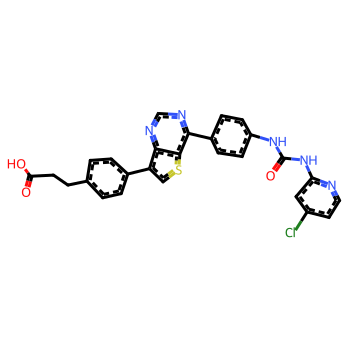 O=C(O)CCc1ccc(-c2csc3c(-c4ccc(NC(=O)Nc5cc(Cl)ccn5)cc4)ncnc23)cc1